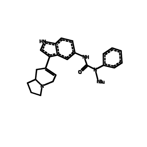 CCCCN(C(=O)Nc1ccc2[nH]cc(C3=CCN4CCCC4C3)c2c1)c1ccccc1